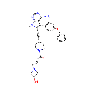 Cn1c(C#CC2CCN(C(=O)/C=C/CN3CC(O)C3)CC2)c(-c2ccc(Oc3ccccc3)cc2)c2c(N)ncnc21